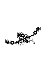 CC1=C(C(=O)OCCC=Cc2ccc(-n3ccnc3)cc2)C(c2cccc([N+](=O)[O-])c2)C(C(=O)OCCC=Cc2ccc(-n3ccnc3)cc2)=C(C)N1